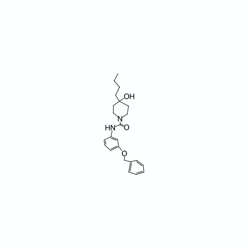 CCCCC1(O)CCN(C(=O)Nc2cccc(OCc3ccccc3)c2)CC1